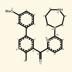 COc1cccc(-c2cnc(C)c(C(=O)c3cccc(N4CCCNCC4)n3)c2)c1